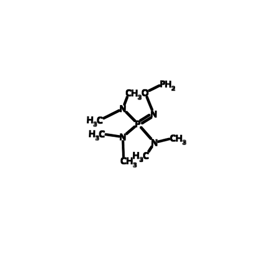 CN(C)P(=NOP)(N(C)C)N(C)C